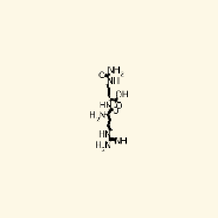 N=C(N)NCCC[C@H](N)C(=O)N[C@@H](CCCNC(N)=O)C(=O)O